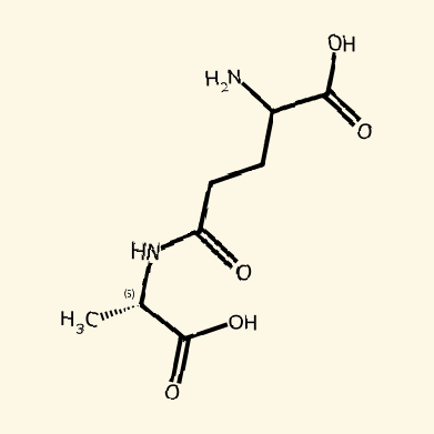 C[C@H](NC(=O)CCC(N)C(=O)O)C(=O)O